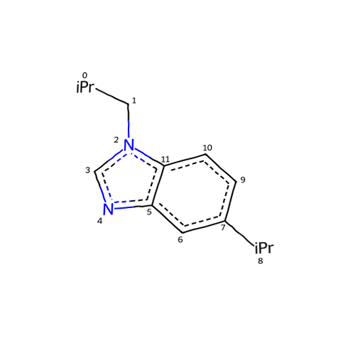 CC(C)Cn1cnc2cc(C(C)C)ccc21